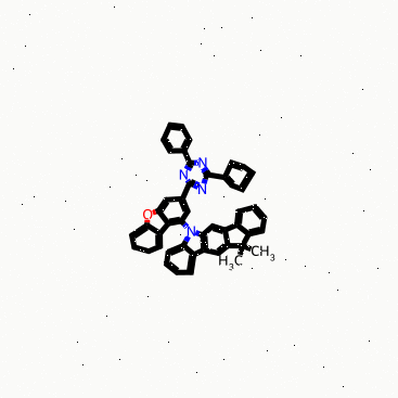 CC1(C)c2ccccc2-c2cc3c(cc21)c1ccccc1n3-c1cc(-c2nc(-c3ccccc3)nc(-c3ccccc3)n2)cc2oc3c(c12)=CCCC=3